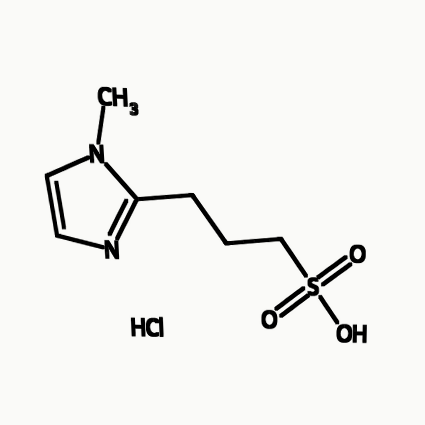 Cl.Cn1ccnc1CCCS(=O)(=O)O